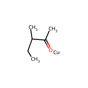 CCC(C)C(C)=O.[Cu]